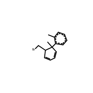 Cc1ccccc1C1(C)C=CC=CC1CBr